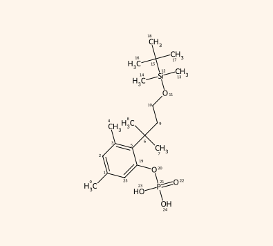 Cc1cc(C)c(C(C)(C)CCO[Si](C)(C)C(C)(C)C)c(OP(=O)(O)O)c1